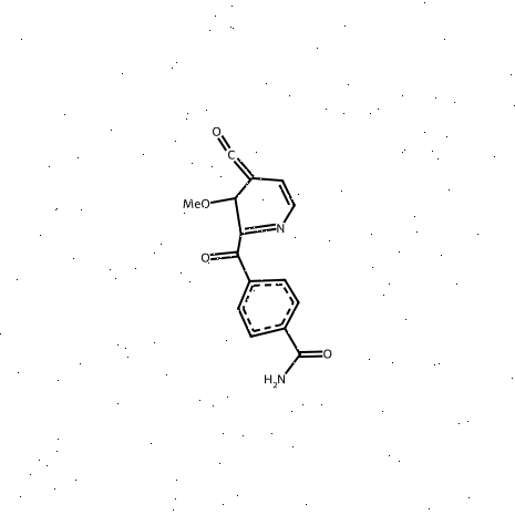 COC1C(=C=O)C=CN=C1C(=O)c1ccc(C(N)=O)cc1